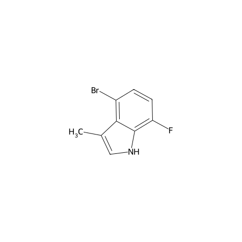 Cc1c[nH]c2c(F)ccc(Br)c12